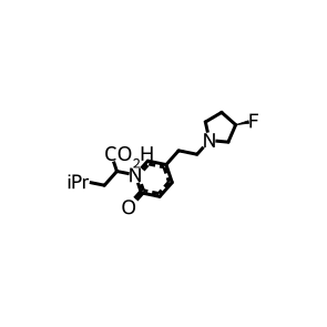 CC(C)CC(C(=O)O)n1cc(CCN2CC[C@@H](F)C2)ccc1=O